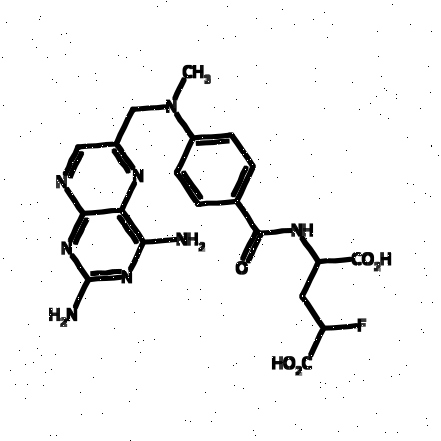 CN(Cc1cnc2nc(N)nc(N)c2n1)c1ccc(C(=O)NC(CC(F)C(=O)O)C(=O)O)cc1